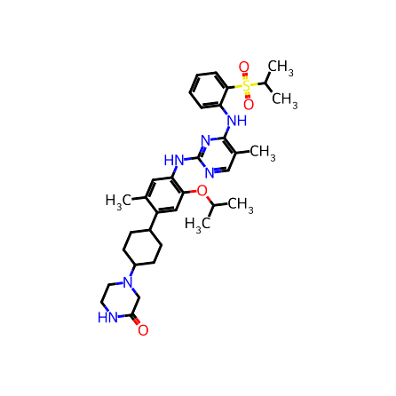 Cc1cc(Nc2ncc(C)c(Nc3ccccc3S(=O)(=O)C(C)C)n2)c(OC(C)C)cc1C1CCC(N2CCNC(=O)C2)CC1